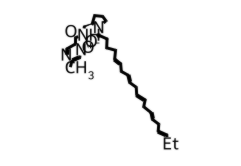 CCC=CCC=CCC=CCC=CCC=CCCCC(=O)N1CCC[C@@H]1CNC(=O)c1cnc(C)c[n+]1[O-]